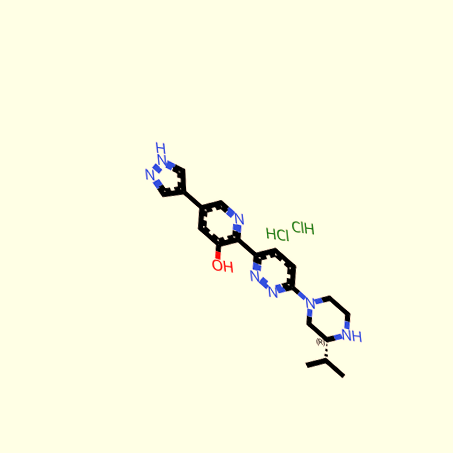 CC(C)[C@@H]1CN(c2ccc(-c3ncc(-c4cn[nH]c4)cc3O)nn2)CCN1.Cl.Cl